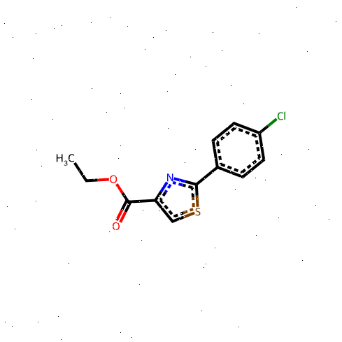 CCOC(=O)c1csc(-c2ccc(Cl)cc2)n1